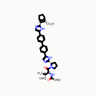 COC(=O)N[C@H](C(=O)N1CCC[C@H]1c1ncc(-c2ccc(-c3ccc(-c4cnc([C@H]5C6CCC(C6)[C@@H]5C(=O)O)[nH]4)cc3)cc2)[nH]1)[C@@H](C)OC